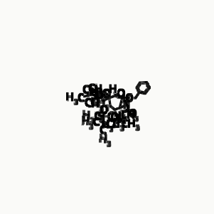 CC(C)(C)[Si](C)(C)OC[C@]1(O)[C@H]2O[C@H]2[C@]2(CC(=O)N2OCc2ccccc2)[C@H](O[Si](C)(C)C)[C@@H]1O[Si](C)(C)C(C)(C)C